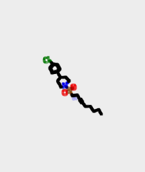 CCCCCC#C/C=C/S(=O)(=O)N1CCC(c2ccc(Cl)cc2)CC1